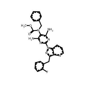 COC(=O)N(Cc1ccccc1)c1c(N)nc(-n2nc(Cc3ccccc3F)c3ncccc32)nc1N